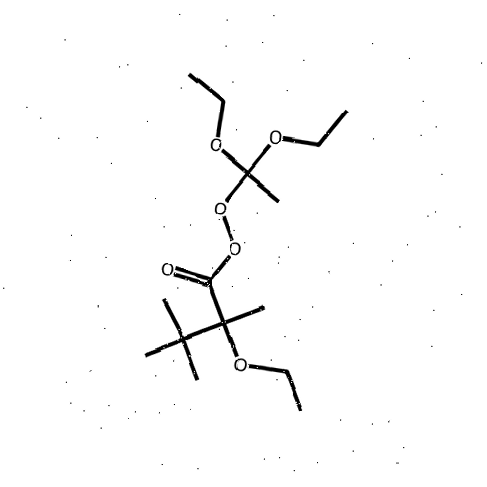 CCOC(C)(OCC)OOC(=O)C(C)(OCC)C(C)(C)C